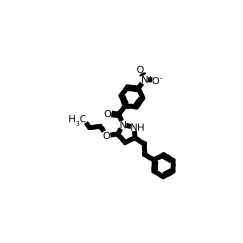 CCCOC1CC(CCc2ccccc2)NN1C(=O)c1ccc([N+](=O)[O-])cc1